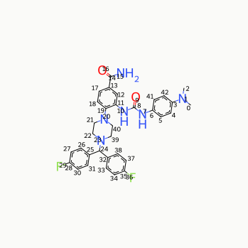 CN(C)c1ccc(NC(=O)Nc2cc(C(N)=O)ccc2N2CCN(C(c3ccc(F)cc3)c3ccc(F)cc3)CC2)cc1